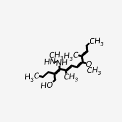 CC/C=C(C)/C(=C\C=C(C)\C(NNC)=C(/CO)CCC)OC